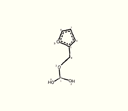 OP(O)OCc1ccco1